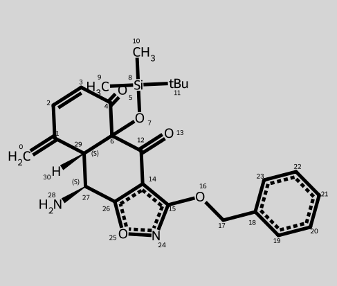 C=C1C=CC(=O)C2(O[Si](C)(C)C(C)(C)C)C(=O)c3c(OCc4ccccc4)noc3[C@@H](N)[C@H]12